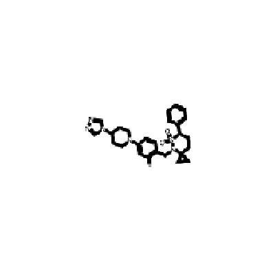 O=S1(=O)C(c2ccccc2)CCC2(CC2)N1Cc1ccc(N2CCC(n3cnnc3)CC2)cc1F